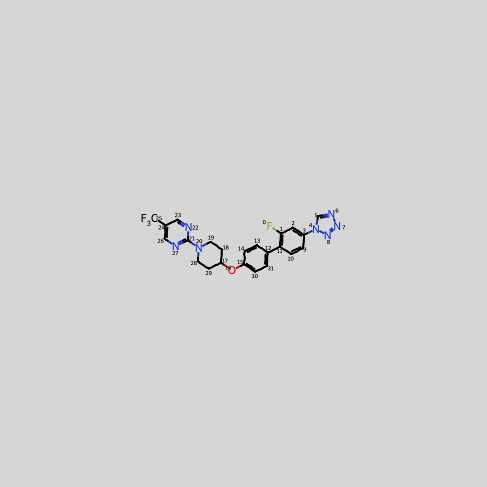 Fc1cc(-n2cnnn2)ccc1-c1ccc(OC2CCN(c3ncc(C(F)(F)F)cn3)CC2)cc1